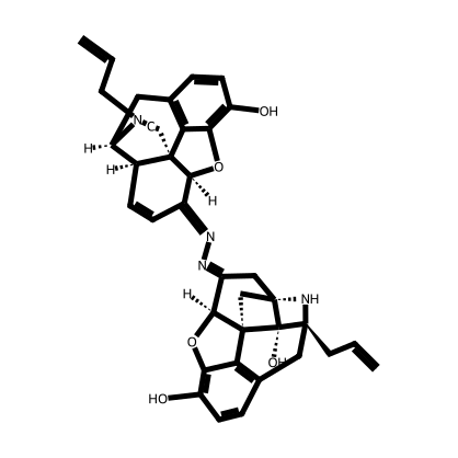 C=CCN1CC[C@]23c4c5ccc(O)c4O[C@H]2/C(=N/N=C2\C[C@@]46C[C@]78c9c(ccc(O)c9O[C@@H]27)C[C@@](CC=C)(N4)[C@]68O)C=C[C@H]3[C@H]1C5